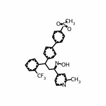 Cc1cc(C(CC(c2ccc(-c3ccc(S(C)(=O)=O)cc3)cc2)c2ccccc2C(F)(F)F)=NO)ccn1